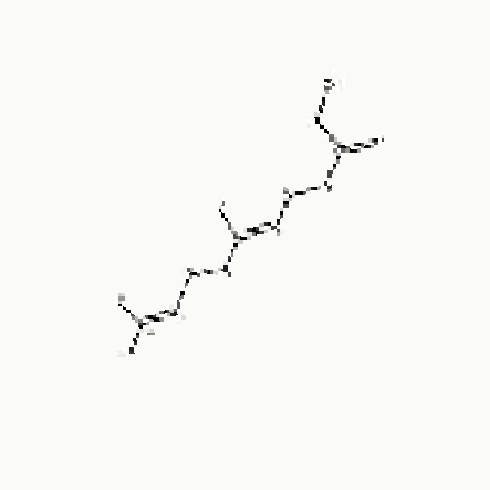 C=C(CO)CC/C=C(\C)CCC=C(C)C